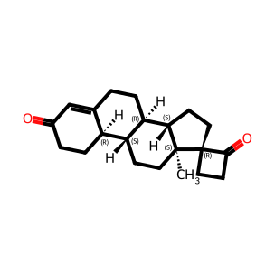 C[C@]12CC[C@H]3[C@@H](CCC4=CC(=O)CC[C@@H]43)[C@@H]1CC[C@@]21CCC1=O